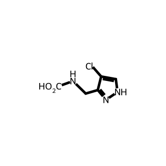 O=C(O)NCc1n[nH]cc1Cl